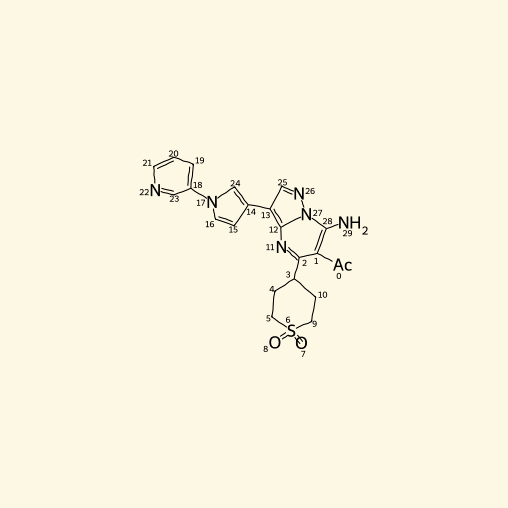 CC(=O)c1c(C2CCS(=O)(=O)CC2)nc2c(-c3ccn(-c4cccnc4)c3)cnn2c1N